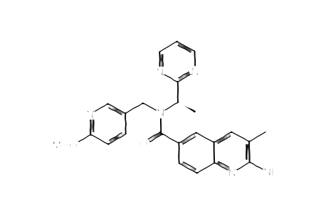 COc1ccc(CN(C(=O)c2ccc3nc(N)c(C)cc3c2)[C@H](C)c2ncccn2)cn1